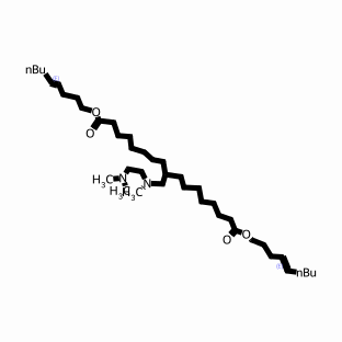 CCCC/C=C/CCCOC(=O)CCCCCCCC(CCCCCCCC(=O)OCCC/C=C/CCCC)CN(C)CCN(C)C